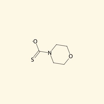 [O]C(=S)N1CCOCC1